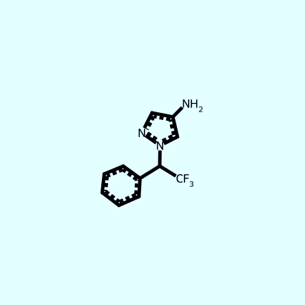 Nc1cnn(C(c2ccccc2)C(F)(F)F)c1